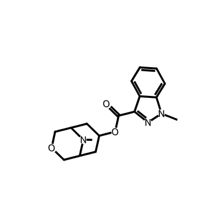 CN1C2COCC1CC(OC(=O)c1nn(C)c3ccccc13)C2